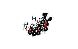 CC1C(OCc2ccccc2)[C@H](OCc2ccccc2)C(COCc2ccccc2)O[C@@H]1O[C@H]1OC(CO[Si](c2ccccc2)(c2ccccc2)C(C)(C)C)[C@@H](C)[C@H](OCc2ccccc2)C1OCc1ccccc1